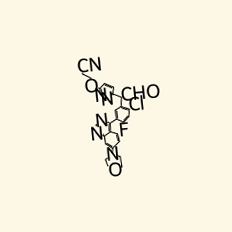 N#CCCOc1ccc(C(C=O)c2cc(-c3ncnc4cc(N5CCOCC5)ccc34)c(F)cc2Cl)nn1